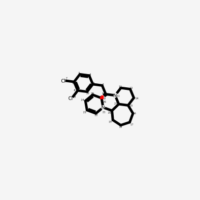 O=C(Cc1ccc(Cl)c(Cl)c1)N1CCCC2CCCCC(N3C=CC=CC3)C21